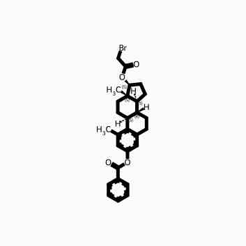 Cc1cc(OC(=O)c2ccccc2)cc2c1[C@H]1CC[C@]3(C)[C@@H](OC(=O)CBr)CC[C@H]3[C@@H]1CC2